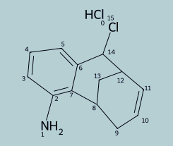 Cl.Nc1cccc2c1C1CC=CC(C1)C2Cl